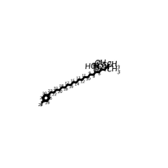 C[N+](C)(C)CC(CCCCCCCCCCCCCCCCCCc1ccc(I)cc1)OP(=O)(O)O